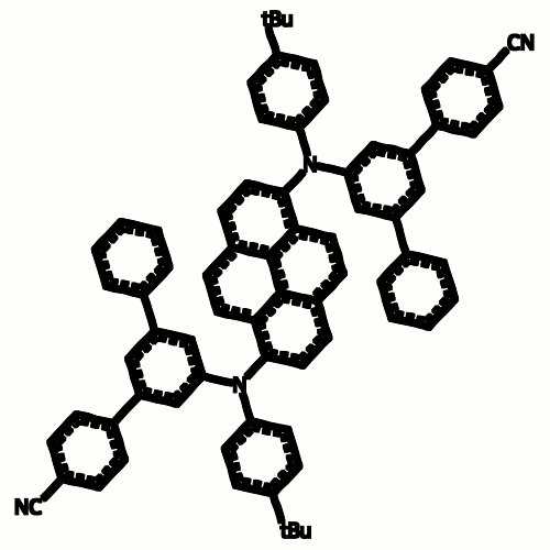 CC(C)(C)c1ccc(N(c2cc(-c3ccccc3)cc(-c3ccc(C#N)cc3)c2)c2ccc3ccc4c(N(c5ccc(C(C)(C)C)cc5)c5cc(-c6ccccc6)cc(-c6ccc(C#N)cc6)c5)ccc5ccc2c3c54)cc1